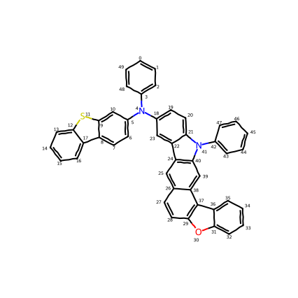 c1ccc(N(c2ccc3c(c2)sc2ccccc23)c2ccc3c(c2)c2cc4ccc5oc6ccccc6c5c4cc2n3-c2ccccc2)cc1